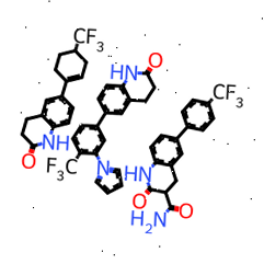 NC(=O)C1Cc2cc(-c3ccc(C(F)(F)F)cc3)ccc2NC1=O.O=C1CCc2cc(-c3ccc(C(F)(F)F)c(-n4cccc4)c3)ccc2N1.O=C1CCc2cc(C3=CCC(C(F)(F)F)CC3)ccc2N1